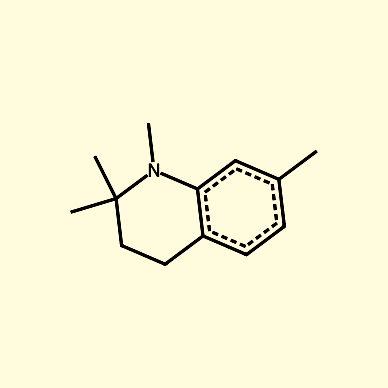 Cc1ccc2c(c1)N(C)C(C)(C)CC2